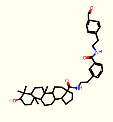 CC1(C)C(O)CCC2(C)C1CCC1(C)C3CCC4(C(=O)NCCc5cccc(C(=O)NCCc6ccc(C=O)cc6)c5)CCCC4C3CCC12